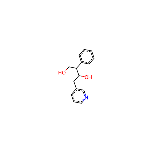 OCC(c1ccccc1)C(O)Cc1cccnc1